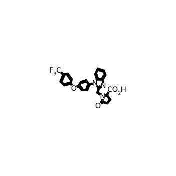 O=C(O)C1CCC(=O)N1Cc1nc2ccccc2n1-c1ccc(Oc2ccc(C(F)(F)F)cc2)cc1